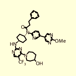 COc1ncc(-c2ccc(N(C(=O)CCc3ccccc3)[C@H]3CC[C@H](Nc4ncc(C(F)(F)F)c(N5CCCC(O)CC5)n4)CC3)nc2)cn1